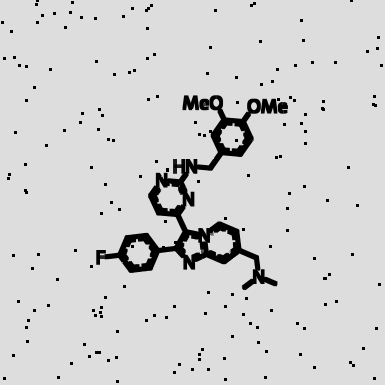 COc1ccc(CNc2nccc(-c3c(-c4ccc(F)cc4)nc4cc(CN(C)C)ccn34)n2)cc1OC